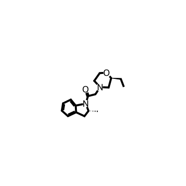 CC[C@H]1CN(CC(=O)N2c3ccccc3C[C@H]2C)CCO1